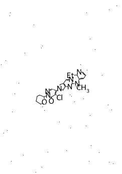 CCc1ncccc1N(C)c1ncc2c(n1)CN(c1cnn(C3CCCCO3)c(=O)c1Cl)C2